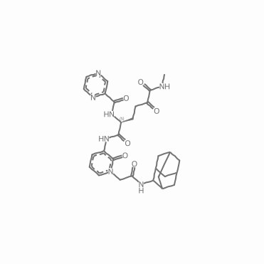 CNC(=O)C(=O)CC[C@H](NC(=O)c1cnccn1)C(=O)Nc1cccn(CC(=O)NC2C3CC4CC(C3)CC2C4)c1=O